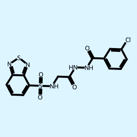 O=C(CNS(=O)(=O)c1cccc2nsnc12)NNC(=O)c1cccc(Cl)c1